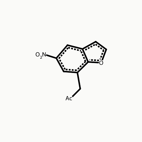 CC(=O)Cc1cc([N+](=O)[O-])cc2ccoc12